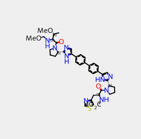 COCN[C@H](C(=O)N1CCC[C@H]1c1ncc(-c2ccc(-c3ccc(-c4cnc([C@@H]5CCCN5C(=O)[C@H](Cc5cscn5)NC(=O)O)[nH]4)cc3)cc2)[nH]1)[C@@H](C)OC